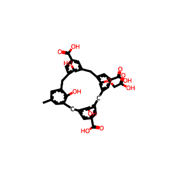 Cc1cc2c(O)c(c1)Cc1cc(C(=O)O)cc(c1O)Cc1cc(C(=O)O)cc(c1OCC(=O)O)Cc1cc(C(=O)O)cc(c1O)C2